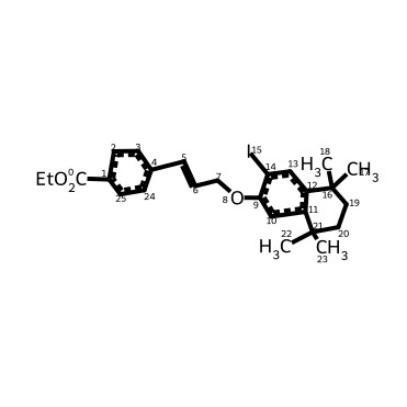 CCOC(=O)c1ccc(C=CCOc2cc3c(cc2I)C(C)(C)CCC3(C)C)cc1